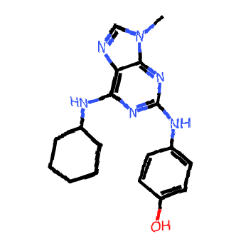 Cn1cnc2c(NC3CCCCC3)nc(Nc3ccc(O)cc3)nc21